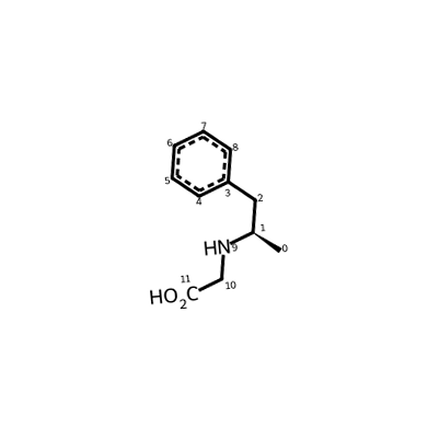 C[C@H](Cc1ccccc1)NCC(=O)O